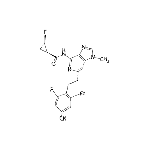 CCc1cc(C#N)cc(F)c1CCc1cc2c(ncn2C)c(NC(=O)[C@H]2C[C@H]2F)n1